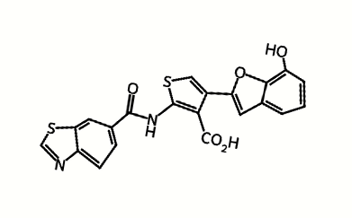 O=C(Nc1scc(-c2cc3cccc(O)c3o2)c1C(=O)O)c1ccc2ncsc2c1